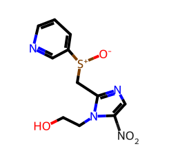 O=[N+]([O-])c1cnc(C[S+]([O-])c2cccnc2)n1CCO